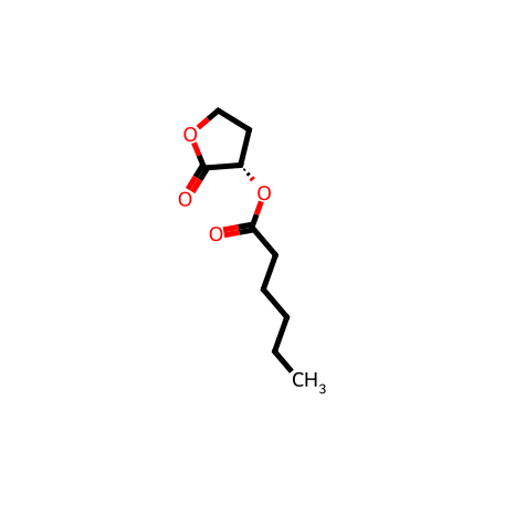 CCCCCC(=O)O[C@H]1CCOC1=O